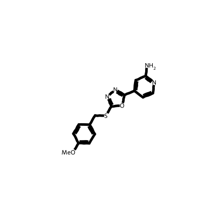 COc1ccc(CSc2nnc(-c3ccnc(N)c3)o2)cc1